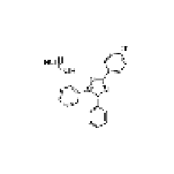 Cl.Cl.Cl.[Cl-].c1ccc(-c2nn(-c3ccccc3)[n+](-c3ccccc3)n2)cc1